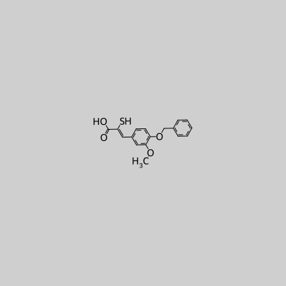 COc1cc(C=C(S)C(=O)O)ccc1OCc1ccccc1